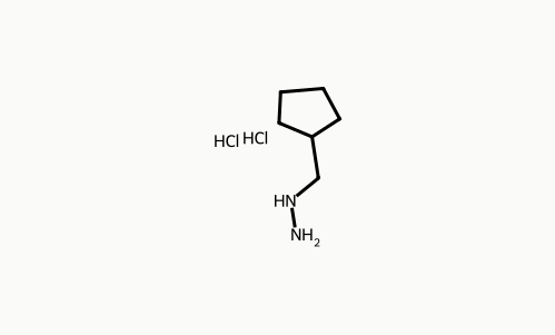 Cl.Cl.NNCC1CCCC1